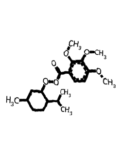 COc1ccc(C(=O)OO[C]2CC(C)CCC2C(C)C)c(OC)c1OC